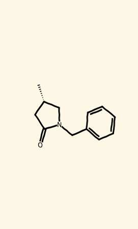 C[C@H]1CC(=O)N(Cc2ccccc2)C1